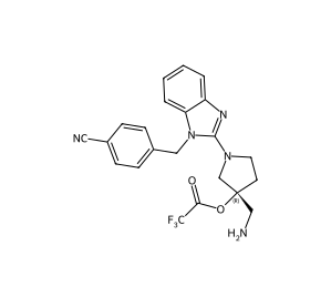 N#Cc1ccc(Cn2c(N3CC[C@](CN)(OC(=O)C(F)(F)F)C3)nc3ccccc32)cc1